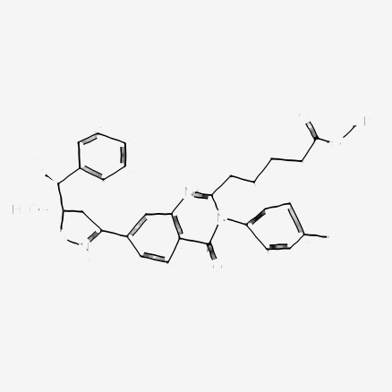 CC(C)(C)OC(=O)CCCCc1nc2cc(C3=NO[C@@](C)([C@@H](O)c4ccccc4)C3)ccc2c(=O)n1-c1ccc(F)cc1